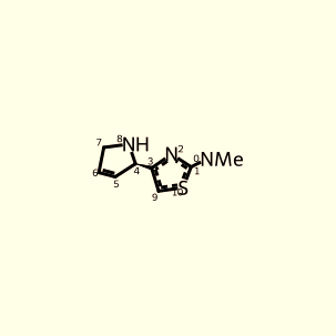 CNc1nc([C@H]2C=CCN2)cs1